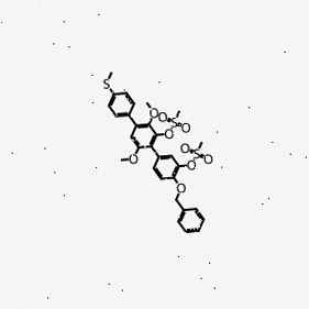 COc1cc(-c2ccc(SC)cc2)c(OC)c(OS(C)(=O)=O)c1-c1ccc(OCc2ccccc2)c(OS(C)(=O)=O)c1